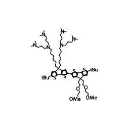 COCCOCCC1(CCOCCOC)c2cc(-c3cc4c(s3)-c3sc(C(C)(C)C)cc3C4(CCCCCCN(CCCN(C)C)CCCN(C)C)CCCCCCN(CCCN(C)C)CCCN(C)C)sc2-c2sc(C(C)(C)C)cc21